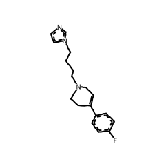 Fc1ccc(C2=CCN(CCCCn3ccnc3)CC2)cc1